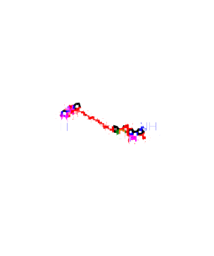 Nc1cc(C(=O)O)cc(-c2cc3c(=O)cc(-c4ccc(OCCOCCOCCOCCOC5=C6C(=O)N(C7CCC(=O)NC7=O)C(=O)C6=CCC5)cc4Cl)oc3cc2N=O)c1